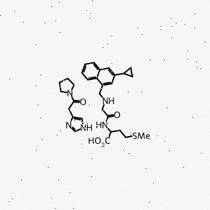 CSCCC(NC(=O)CNCc1cc(C2CC2)cc2ccccc12)C(=O)O.O=C(Cc1c[nH]cn1)N1CCCC1